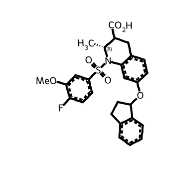 COc1cc(S(=O)(=O)N2c3cc(OC4CCc5ccccc54)ccc3CC(C(=O)O)[C@H]2C)ccc1F